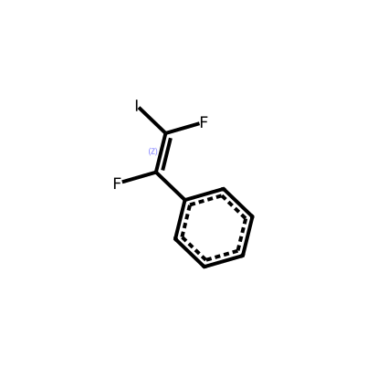 F/C(I)=C(/F)c1ccccc1